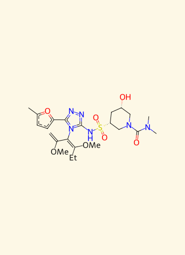 C=C(OC)/C(=C(\CC)OC)n1c(NS(=O)(=O)[C@@H]2C[C@H](O)CN(C(=O)N(C)C)C2)nnc1-c1ccc(C)o1